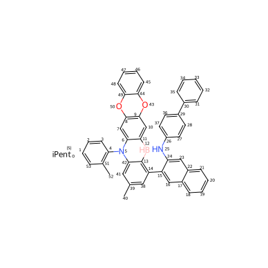 CCC[C@H](C)c1ccc(N2c3cc4c(cc3Bc3c(-c5cc6ccccc6cc5Nc5ccc(-c6ccccc6)cc5)cc(C)cc32)Oc2ccccc2O4)c(C)c1